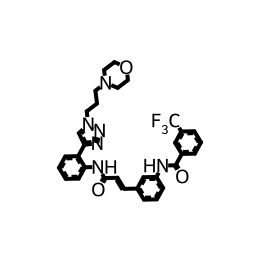 O=C(C=Cc1cccc(NC(=O)c2cccc(C(F)(F)F)c2)c1)Nc1ccccc1-c1cn(CCCN2CCOCC2)nn1